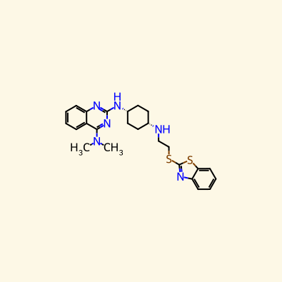 CN(C)c1nc(N[C@H]2CC[C@@H](NCCSc3nc4ccccc4s3)CC2)nc2ccccc12